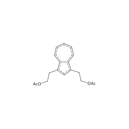 CC(=O)OCCc1cc(CCOC(C)=O)c2cccccc1-2